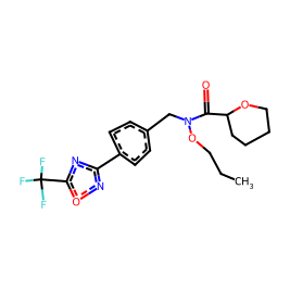 CCCON(Cc1ccc(-c2noc(C(F)(F)F)n2)cc1)C(=O)C1CCCCO1